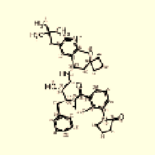 CC(C)(C)Cc1cnc2c(c1)[C@@H](NC[C@@H](O)[C@H](Cc1ccccc1)NC(=O)c1cccc(N3CCCC3=O)c1F)CC1(CCC1)O2